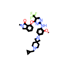 COc1cc(N2CC3(CCN(CC4CC4)CC3)C2)ccc1Nc1ncc(C(F)(F)F)c(Oc2cccc3c2C(=O)N(C)C3)n1